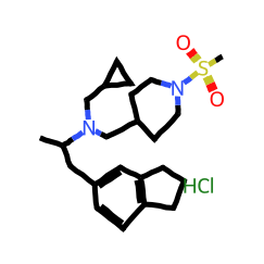 CC(Cc1ccc2c(c1)CCC2)N(CC1CC1)CC1CCN(S(C)(=O)=O)CC1.Cl